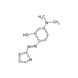 CN(C)c1ccc(N=Nc2nccs2)c(O)c1